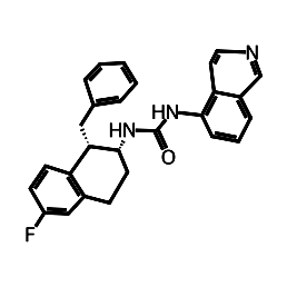 O=C(Nc1cccc2cnccc12)N[C@@H]1CCc2cc(F)ccc2[C@@H]1Cc1ccccc1